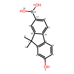 CC1(C)c2cc(O)ccc2-c2ccc(B(O)O)cc21